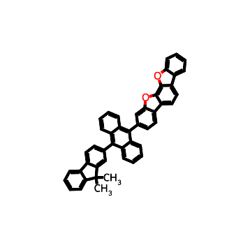 CC1(C)c2ccccc2-c2ccc(-c3c4ccccc4c(-c4ccc5c(c4)oc4c5ccc5c6ccccc6oc54)c4ccccc34)cc21